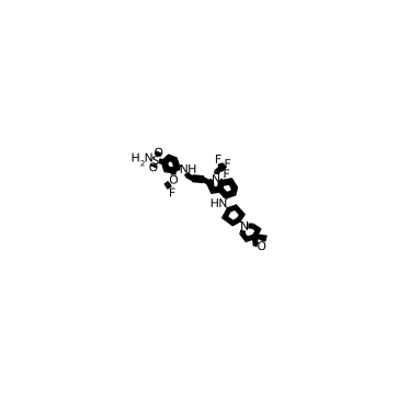 NS(=O)(=O)c1ccc(NCC#Cc2cc3c(N[C@H]4CC[C@@H](N5CCC6(CC5)COC6)CC4)cccc3n2CC(F)(F)F)c(OCF)c1